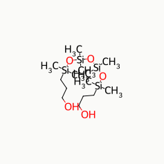 C[Si](C)(CCCO)O[Si](C)(C)O[Si](C)(C)O[Si](C)(C)CCCO